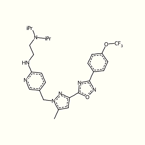 Cc1cc(-c2nc(-c3ccc(OC(F)(F)F)cc3)no2)nn1Cc1ccc(NCCN(C(C)C)C(C)C)nc1